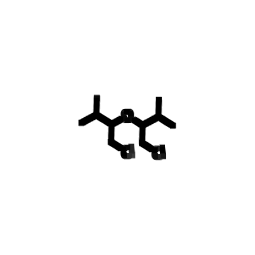 CC(C)C(CCl)OC(CCl)C(C)C